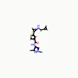 Cc1nn(C)cc1NC(=O)c1csc(C2CC2NCC2CC2)c1